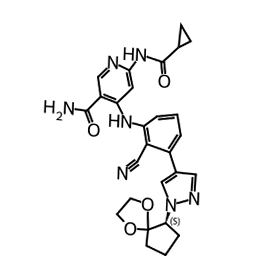 N#Cc1c(Nc2cc(NC(=O)C3CC3)ncc2C(N)=O)cccc1-c1cnn([C@H]2CCCC23OCCO3)c1